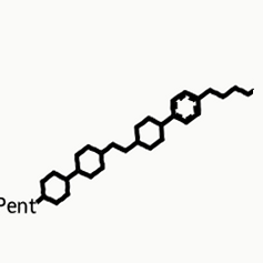 CCCCCC1CCC(C2CCC(CCC3CCC(c4ccc(CCCCCl)cc4)CC3)CC2)CC1